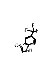 [O-][n+]1c[nH]c2ccc(C(F)(F)F)cc21